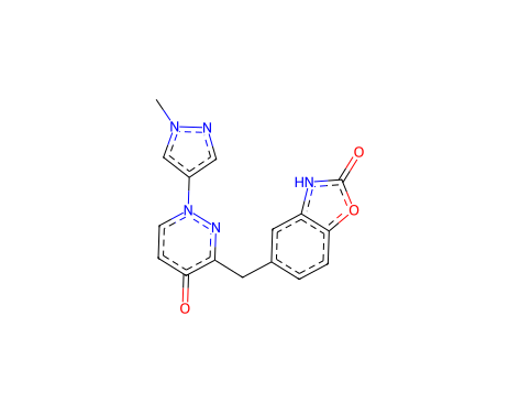 Cn1cc(-n2ccc(=O)c(Cc3ccc4oc(=O)[nH]c4c3)n2)cn1